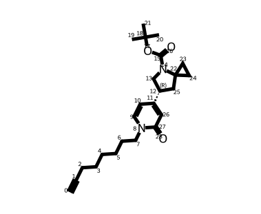 C#CCCCCCCn1ccc([C@@H]2CN(C(=O)OC(C)(C)C)C3(CC3)C2)cc1=O